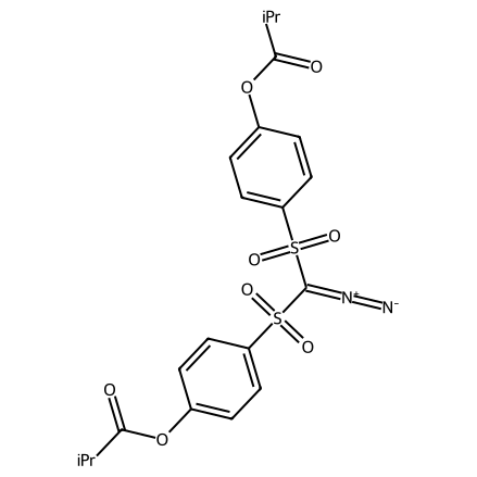 CC(C)C(=O)Oc1ccc(S(=O)(=O)C(=[N+]=[N-])S(=O)(=O)c2ccc(OC(=O)C(C)C)cc2)cc1